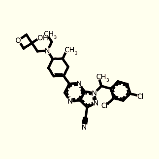 CCN(CC1(O)COC1)C1CC=C(c2cnc3c(C#N)nn(C(C)c4ccc(Cl)cc4Cl)c3n2)CC1C